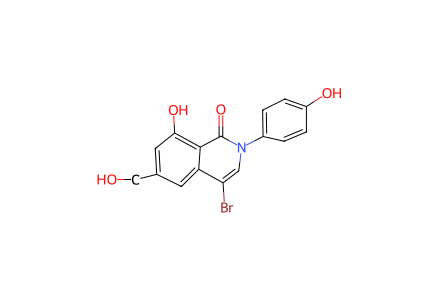 O=c1c2c(O)cc(CO)cc2c(Br)cn1-c1ccc(O)cc1